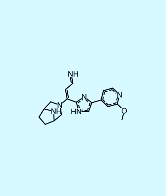 COc1cc(-c2c[nH]c(/C(=C\C=N)N3CC4CCC(C3)N4)n2)ccn1